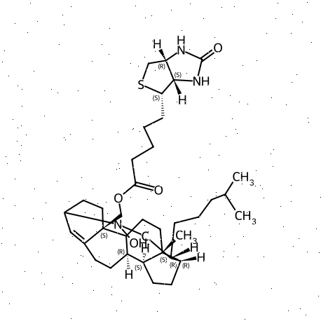 CC(C)CCC[C@H]1CN(O)C2C=C3CC[C@H]4C(CC[C@]5(C)[C@@H]1CC[C@@H]45)[C@@]3(COC(=O)CCCC[C@@H]1SC[C@@H]3NC(=O)N[C@@H]31)CC2